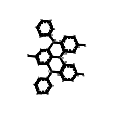 Cc1cc2c3c(c1)B(c1ccccc1)c1ccc(C)cc1N3c1cc(C)ccc1B2c1ccccc1